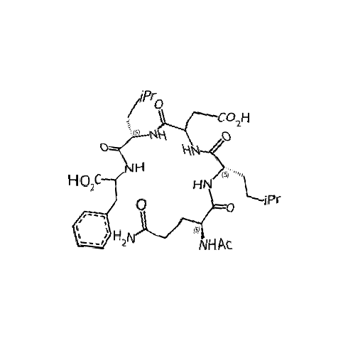 CC(=O)N[C@@H](CCC(N)=O)C(=O)N[C@@H](CCC(C)C)C(=O)NC(CC(=O)O)C(=O)N[C@@H](CC(C)C)C(=O)NC(Cc1ccccc1)C(=O)O